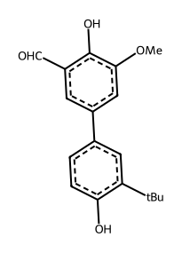 COc1cc(-c2ccc(O)c(C(C)(C)C)c2)cc(C=O)c1O